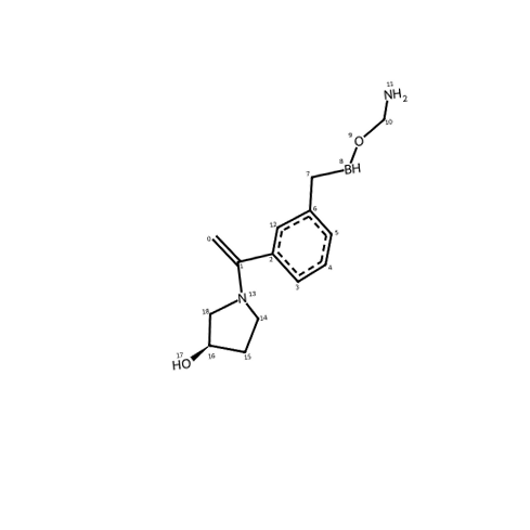 C=C(c1cccc(CBOCN)c1)N1CC[C@@H](O)C1